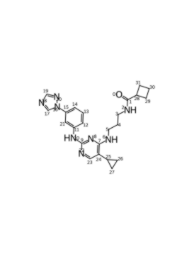 O=C(NCCCNc1nc(Nc2cccc(-n3cncn3)c2)ncc1C1CC1)C1CCC1